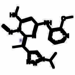 C=NN1C(NC)=CC(Nc2cccnc2OC)=N/C1=C(/C)c1cn(C(C)C)nn1